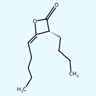 CCCC/C=C1/OC(=O)[C@@H]1CCCC